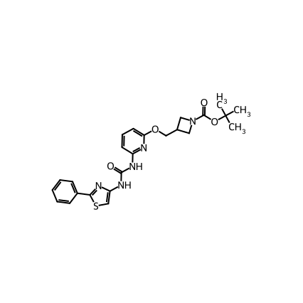 CC(C)(C)OC(=O)N1CC(COc2cccc(NC(=O)Nc3csc(-c4ccccc4)n3)n2)C1